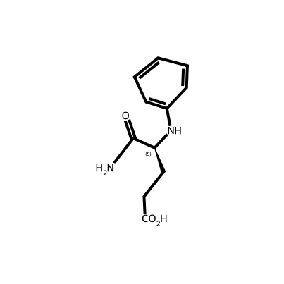 NC(=O)[C@H](CCC(=O)O)Nc1ccccc1